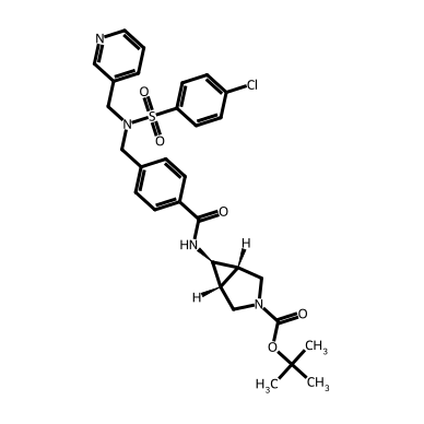 CC(C)(C)OC(=O)N1C[C@@H]2[C@H](C1)[C@H]2NC(=O)c1ccc(CN(Cc2cccnc2)S(=O)(=O)c2ccc(Cl)cc2)cc1